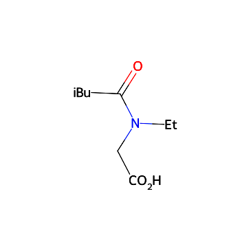 CCC(C)C(=O)N(CC)CC(=O)O